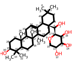 CC1(C)CC[C@]2(C(O)[C@@H]3OC[C@@H](O)C(O)C3O)CC[C@]3(C)C(=CCC4[C@@]5(C)CC[C@H](O)C(C)(C)C5CC[C@]43C)C2C1